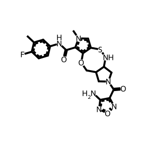 Cc1cc(NC(=O)c2c3c(cn2C)SNC2CN(C(=O)c4nonc4N)CC2CO3)ccc1F